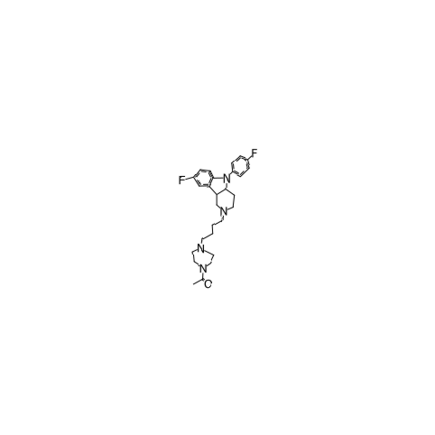 CC(=O)N1CCN(CCCCN2CCC3C(C2)c2cc(F)ccc2N3c2ccc(F)cc2)CC1